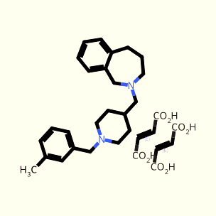 Cc1cccc(CN2CCC(CN3CCCc4ccccc4C3)CC2)c1.O=C(O)/C=C/C(=O)O.O=C(O)/C=C/C(=O)O